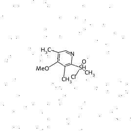 COc1c(C)cnc([SH](C)(=O)Cl)c1C